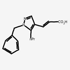 CCCc1c(/C=C/C(=O)O)cnn1Cc1ccccc1